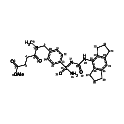 COC(=O)CCC(=O)N(C)Cc1ccc(S(N)(=O)=NC(=O)Nc2c3c(cc4c2CCC4)CCC3)cc1